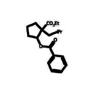 CCOC(=O)C1(CC(C)C)CCCC1OC(=O)c1ccccc1